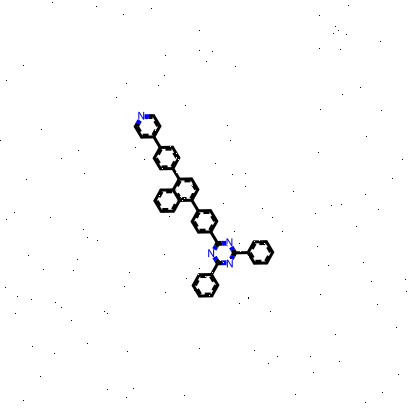 c1ccc(-c2nc(-c3ccccc3)nc(-c3ccc(-c4ccc(-c5ccc(-c6ccncc6)cc5)c5ccccc45)cc3)n2)cc1